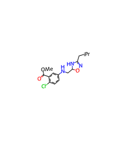 COC(=O)c1cc(NCC2NC(CC(C)C)=NO2)ccc1Cl